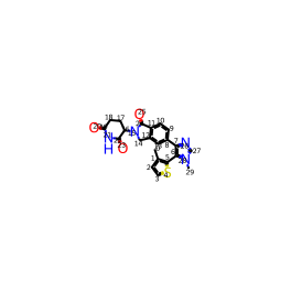 Cc1ccsc1-c1c(-c2ccc3c(c2)CN(C2CCC(=O)NC2=O)C3=O)ncn1C